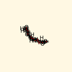 Cc1cc(-c2ccnc(Nc3ccc(N4CCN(CCCNC(=O)c5cccc(NC6CCC(=O)NC6=O)c5)CC4)cc3)n2)ccc1CNC(=O)N1CC(OC(C)C)C1